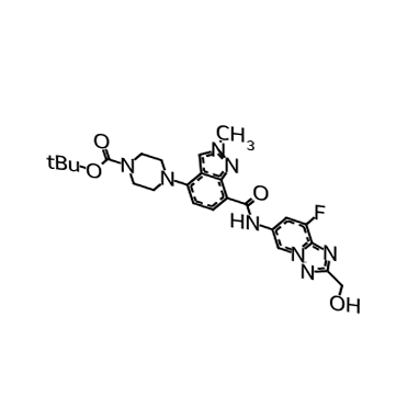 Cn1cc2c(N3CCN(C(=O)OC(C)(C)C)CC3)ccc(C(=O)Nc3cc(F)c4nc(CO)nn4c3)c2n1